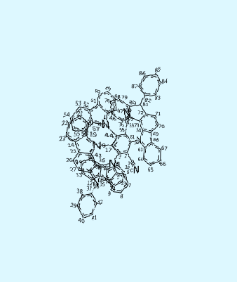 N#Cc1c(-n2c3ccccc3c3ccccc32)c(-n2c3ccccc3c3ccc4c(c5ccccc5n4-c4ccccc4)c32)c(-n2c3ccccc3c3ccccc32)c(C#N)c1-n1c2ccccc2c2ccc3c(c21)-c1ccccc1C3c1ccccc1